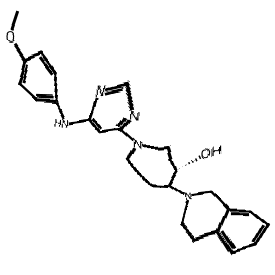 COc1ccc(Nc2cc(N3CCC(N4CCc5ccccc5C4)[C@@H](O)C3)ncn2)cc1